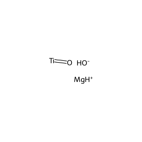 [MgH+].[OH-].[O]=[Ti]